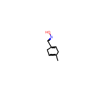 CC1=CCC(/C=N/O)=CC1